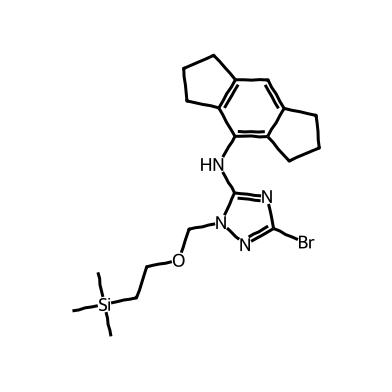 C[Si](C)(C)CCOCn1nc(Br)nc1Nc1c2c(cc3c1CCC3)CCC2